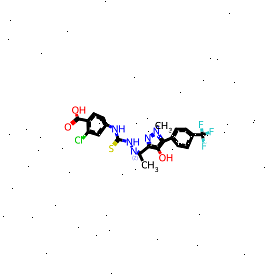 C/C(=N/NC(=S)Nc1ccc(C(=O)O)c(Cl)c1)c1nn(C)c(-c2ccc(C(F)(F)F)cc2)c1O